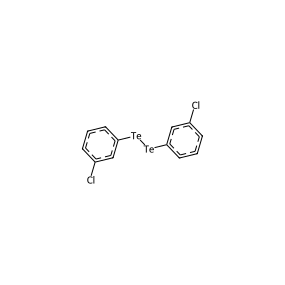 Clc1cccc([Te][Te]c2cccc(Cl)c2)c1